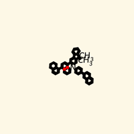 CC1(C)c2ccccc2-c2cc(-c3ccc(-c4cccc5c4CCCC5)cc3)c(N(c3ccccc3)c3ccc(-c4ccc5ccccc5c4)cc3)cc21